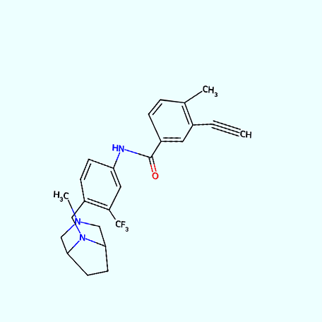 C#Cc1cc(C(=O)Nc2ccc(CN3C4CCC3CN(C)C4)c(C(F)(F)F)c2)ccc1C